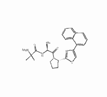 CNC(C)(C)C(=O)N[C@H](C(=O)N1CCC[C@H]1c1nc(-c2cccc3ccccc23)cs1)C(C)(C)C